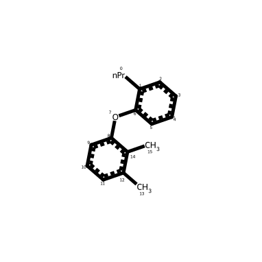 CCCc1cc[c]cc1Oc1cccc(C)c1C